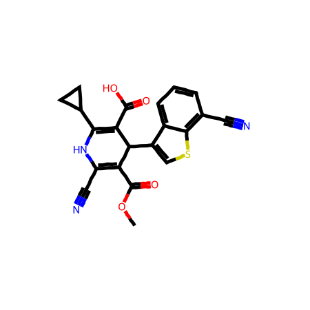 COC(=O)C1=C(C#N)NC(C2CC2)=C(C(=O)O)C1c1csc2c(C#N)cccc12